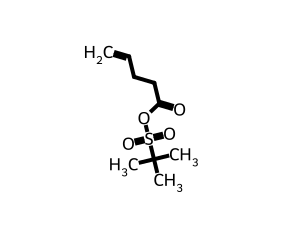 C=CCCC(=O)OS(=O)(=O)C(C)(C)C